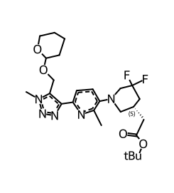 Cc1nc(-c2nnn(C)c2COC2CCCCO2)ccc1N1C[C@@H](CC(=O)OC(C)(C)C)CC(F)(F)C1